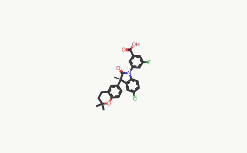 CC1(C)CCc2cc([C@]3(C)C(=O)N(c4cc(F)cc(C(=O)O)c4)c4ccc(Cl)cc43)ccc2O1